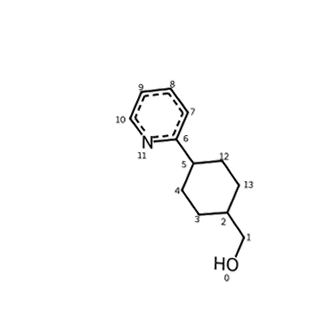 OCC1CCC(c2ccccn2)CC1